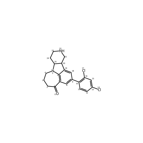 O=C1CCCN2c3c1cc(-c1ccc(Cl)cc1Cl)cc3C1CNCCC12